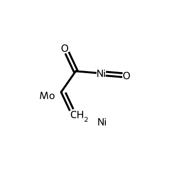 C=C[C](=O)[Ni]=[O].[Mo].[Ni]